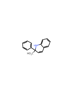 O=C(O)C1(c2ccccc2)C=Cc2ccccc2N1